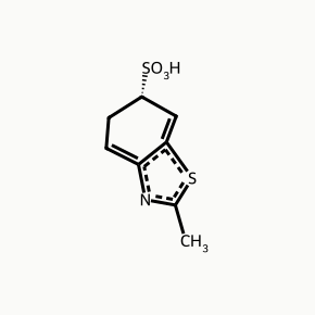 Cc1nc2c(s1)=C[C@@H](S(=O)(=O)O)CC=2